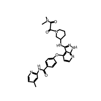 Cc1ccnc(NC(=O)c2ccc(Oc3ccnc4[nH]nc(NC5CCCN(C(=O)C(=O)N(C)C)C5)c34)cc2)c1